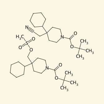 CC(C)(C)OC(=O)N1CCC(CC#N)(C2CCCCC2)CC1.CC(C)(C)OC(=O)N1CCC(COS(C)(=O)=O)(C2CCCCC2)CC1